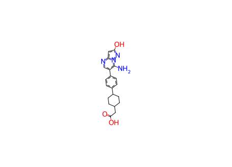 Nc1c(-c2ccc(C3CCC(CC(=O)O)CC3)cc2)cnc2cc(O)nn12